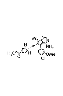 C=CC(=O)N1C[C@@H]2[C@@H](C#Cc3c(-c4ccc(Cl)c(OC)c4)c4c(N)ncnc4n3C(C)C)[C@@H]2C1